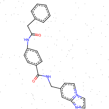 O=C(Cc1ccccc1)Nc1ccc(C(=O)NCc2ccn3ccnc3c2)cc1